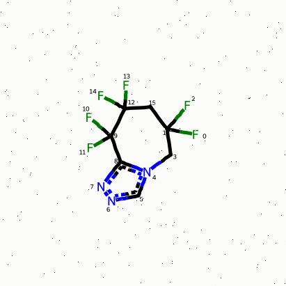 FC1(F)Cn2cnnc2C(F)(F)C(F)(F)C1